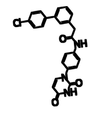 O=C(Cc1cccc(-c2ccc(Cl)cc2)c1)Nc1ccc(-n2ccc(=O)[nH]c2=O)cc1